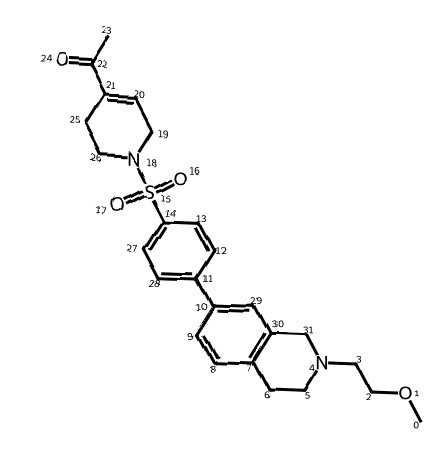 COCCN1CCc2ccc(-c3ccc(S(=O)(=O)N4CC=C(C(C)=O)CC4)cc3)cc2C1